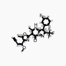 C#C/C=C(/OC)c1nc(-c2c(C)[nH]c3c(-c4cccc(F)c4)c(C(F)(F)F)nn3c2=O)oc1C